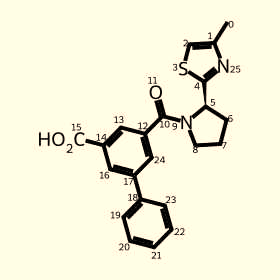 Cc1csc([C@H]2CCCN2C(=O)c2cc(C(=O)O)cc(-c3ccccc3)c2)n1